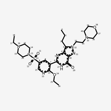 CCCc1c2nc(-c3cc(S(=O)(=O)N4CCN(CC)CC4)cnc3OCC)[nH]c(=O)c2nn1CCN1CCOCC1